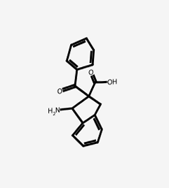 NC1c2ccccc2CC1(C(=O)O)C(=O)c1ccccc1